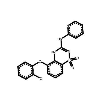 O=S1(=O)N=C(Nc2ccccn2)Nc2c(Oc3ccccc3Cl)cccc21